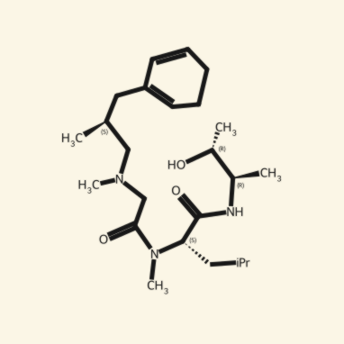 CC(C)C[C@@H](C(=O)N[C@H](C)[C@@H](C)O)N(C)C(=O)CN(C)C[C@@H](C)CC1=CCCC=C1